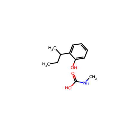 CCC(C)c1ccccc1O.CNC(=O)O